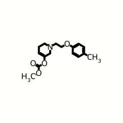 COC(=O)OC1=CCCN(CCOc2ccc(C)cc2)C1